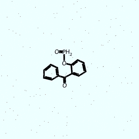 O=[PH2]Oc1ccccc1C(=O)c1ccccc1